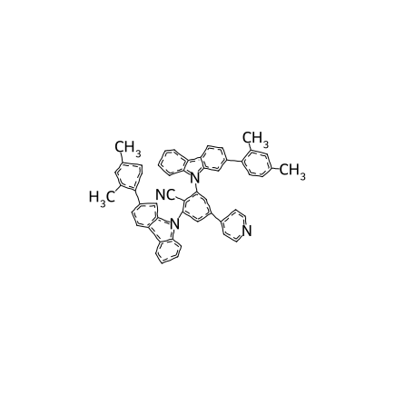 Cc1ccc(-c2ccc3c4ccccc4n(-c4cc(-c5ccncc5)cc(-n5c6ccccc6c6ccc(-c7ccc(C)cc7C)cc65)c4C#N)c3c2)c(C)c1